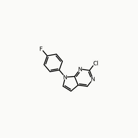 Fc1ccc(-n2ccc3cnc(Cl)nc32)cc1